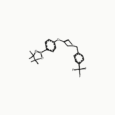 CC1(C)OB(c2ccc(OC3CN(Cc4ccc(C(F)(F)F)cc4)C3)cc2)OC1(C)C